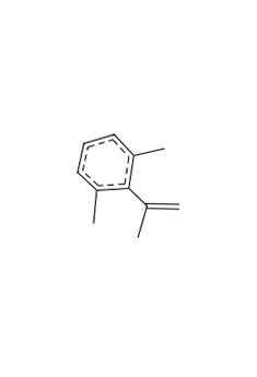 C=C(C)c1c(C)cccc1C